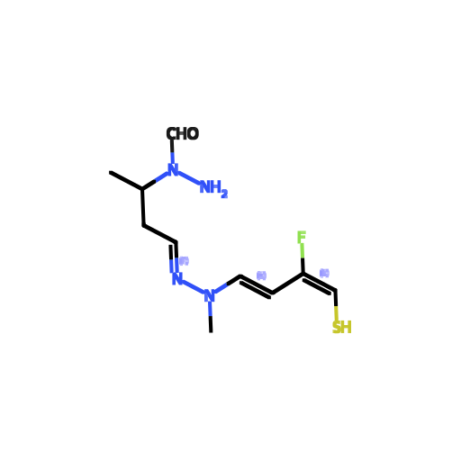 CC(C/C=N/N(C)/C=C/C(F)=C\S)N(N)C=O